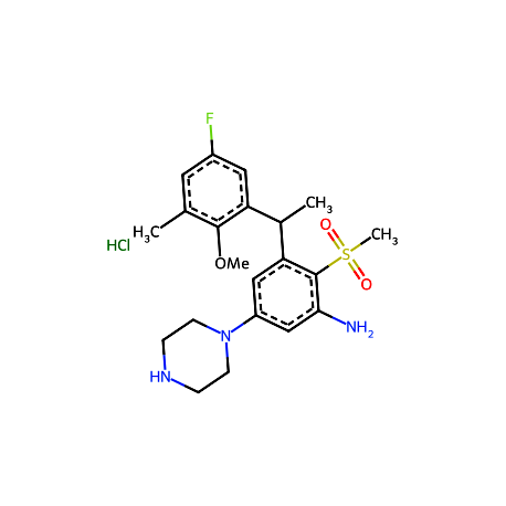 COc1c(C)cc(F)cc1C(C)c1cc(N2CCNCC2)cc(N)c1S(C)(=O)=O.Cl